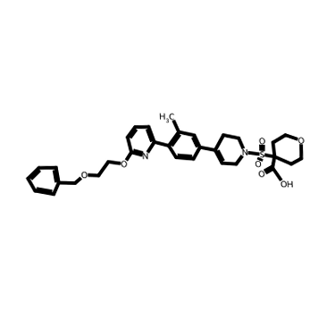 Cc1cc(C2=CCN(S(=O)(=O)C3(C(=O)O)CCOCC3)CC2)ccc1-c1cccc(OCCOCc2ccccc2)n1